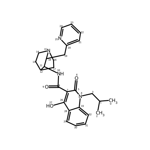 CC(C)Cn1c(=O)c(C(=O)NC2C3CCN(CC3)C2Cc2ccccn2)c(O)c2ccccc21